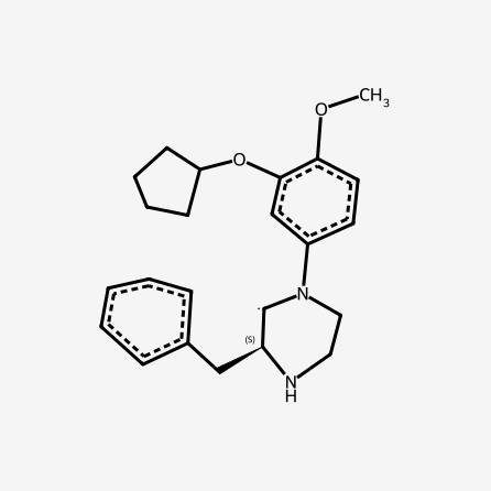 COc1ccc(N2[CH][C@H](Cc3ccccc3)NCC2)cc1OC1CCCC1